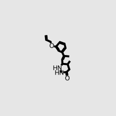 C=CCOc1cccc(/C(C)=C/C2NNC(=O)CC2C)c1